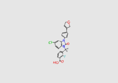 O=C(O)c1cccc(C2(n3c(=O)n(-c4ccc(C5=CCOC5)cc4)c4cc(Cl)ccc43)CC2)c1F